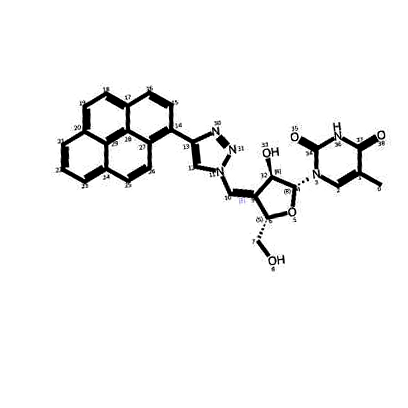 Cc1cn([C@@H]2O[C@H](CO)/C(=C/n3cc(-c4ccc5ccc6cccc7ccc4c5c67)nn3)[C@H]2O)c(=O)[nH]c1=O